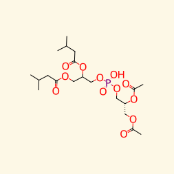 CC(=O)OC[C@H](COP(=O)(O)OCC(COC(=O)CC(C)C)OC(=O)CC(C)C)OC(C)=O